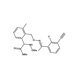 C#Cc1cccc(/C(C)=N/OCc2c(C)cccc2C(NOC)C(=O)NC)c1F